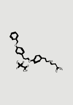 O=C(O)C(F)(F)F.O=C(O)CCNCCc1ccc(OCCc2ccc(OCc3ccccc3)cc2)cc1